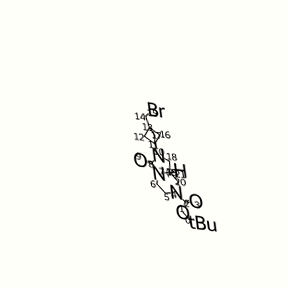 CC(C)(C)OC(=O)N1CCN2C(=O)N(C34CC(CBr)(C3)C4)C[C@@H]2C1